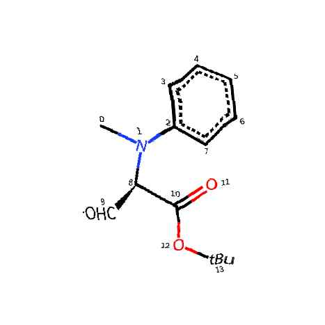 CN(c1ccccc1)[C@H]([C]=O)C(=O)OC(C)(C)C